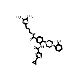 Cc1ccccc1N1CCN(c2ccc(C(=O)NCCCc3nc(C)c(C)s3)cc2NC(=O)c2coc(C3CC3)n2)CC1